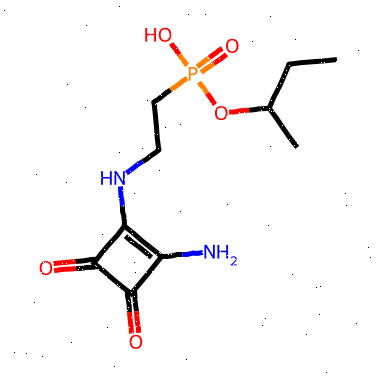 CCC(C)OP(=O)(O)CCNc1c(N)c(=O)c1=O